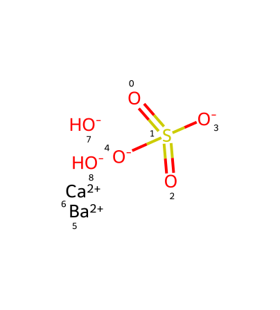 O=S(=O)([O-])[O-].[Ba+2].[Ca+2].[OH-].[OH-]